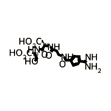 N=C(N)c1ccc(C(=O)NCCC(=O)N[C@@H](CC(=O)O)C(=O)N[C@@H](CO)C(=O)O)cc1